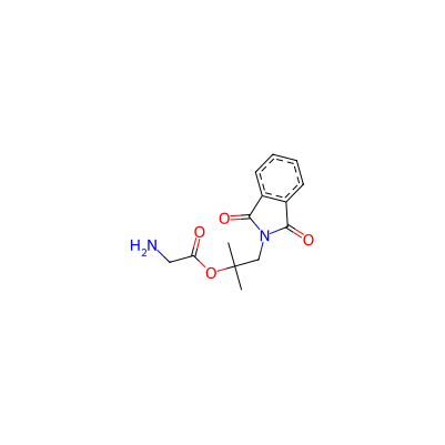 CC(C)(CN1C(=O)c2ccccc2C1=O)OC(=O)CN